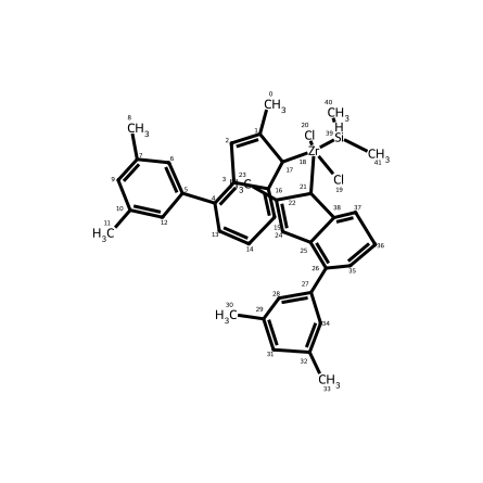 CC1=Cc2c(-c3cc(C)cc(C)c3)cccc2[CH]1[Zr]([Cl])([Cl])([CH]1C(C)=Cc2c(-c3cc(C)cc(C)c3)cccc21)[SiH](C)C